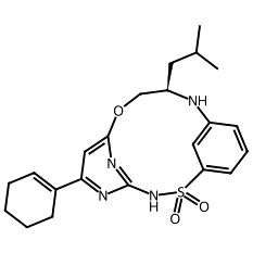 CC(C)C[C@@H]1COc2cc(C3=CCCCC3)nc(n2)NS(=O)(=O)c2cccc(c2)N1